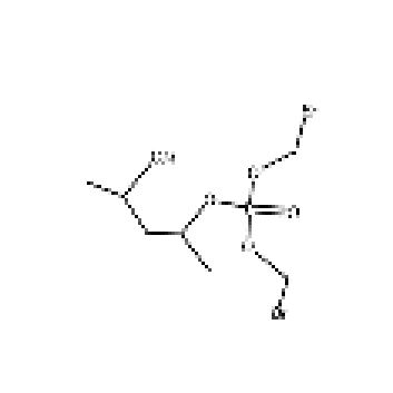 CC(O)CC(C)OP(=O)(OCBr)OCBr